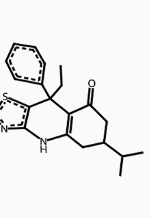 CCC1(c2ccccc2)C2=C(CC(C(C)C)CC2=O)Nc2ncsc21